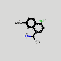 COc1ccc2cccc(C(C)N)c2c1.Cl